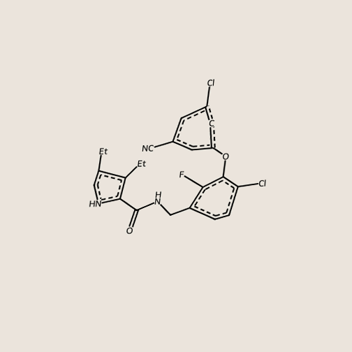 CCc1c[nH]c(C(=O)NCc2ccc(Cl)c(Oc3cc(Cl)cc(C#N)c3)c2F)c1CC